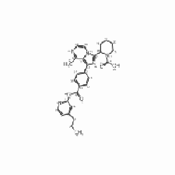 CCCc1ccnc(NC(=O)c2ccc(-c3nc(C4CCCCN4C(=O)O)n4ccnc(C)c34)cc2)c1